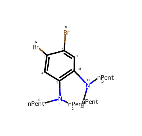 CCCCCN(CCCCC)c1cc(Br)c(Br)cc1N(CCCCC)CCCCC